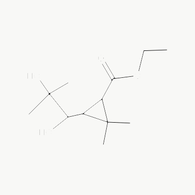 CCOC(=O)C1C(C(O)C(C)(C)O)C1(C)C